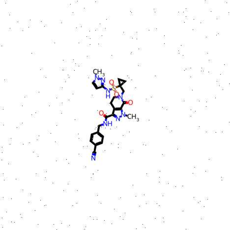 Cn1ccc(NS(=O)(=O)C2(CN3CCc4c(C(=O)NCc5ccc(C#N)cc5)nn(C)c4C3=O)CC2)n1